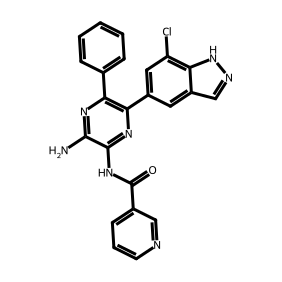 Nc1nc(-c2ccccc2)c(-c2cc(Cl)c3[nH]ncc3c2)nc1NC(=O)c1cccnc1